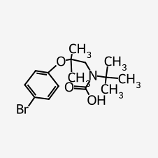 CC(C)(CN(C(=O)O)C(C)(C)C)Oc1ccc(Br)cc1